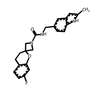 Cc1cc2cc(CNC(=O)N3CC4(CCc5ccc(F)cc5O4)C3)ccc2[nH]1